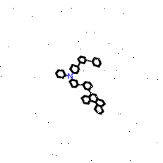 c1ccc(-c2cccc(-c3ccc(N(c4ccccc4)c4cccc(-c5cccc(-c6cc7ccc8ccccc8c7c7ccccc67)c5)c4)cc3)c2)cc1